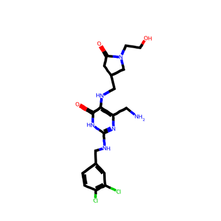 NCc1nc(NCc2ccc(Cl)c(Cl)c2)[nH]c(=O)c1NCC1CC(=O)N(CCO)C1